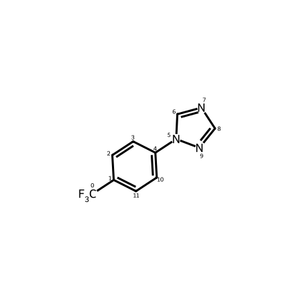 FC(F)(F)c1ccc(-n2cncn2)cc1